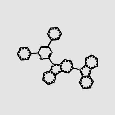 C1=C(c2ccccc2)N=C(n2c3ccccc3c3cc(-n4c5ccccc5c5ccccc54)ccc32)NC1c1ccccc1